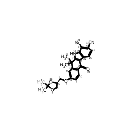 CC1(C)OC[C@H](COc2ccc3c(c2)C(C)(C)c2[nH]c4c(Br)c(C#N)ccc4c2C3=O)O1